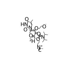 [2H]C[C@H]1OC[C@@H](n2cc(C)c(=O)[nH]c2=O)[C@H](OCCOC)[C@@H]1OP(OCC[N+]#[C-])N(C(C)C)C(C)C